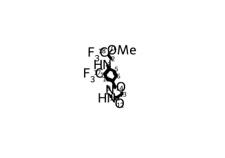 CO[C@@H](CNc1ccc(C2=NNC(=O)CO2)cc1C(F)(F)F)C(F)(F)F